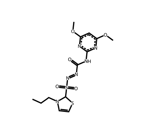 CCCN1C=CSC1S(=O)(=O)/N=N/C(=O)Nc1nc(OC)cc(OC)n1